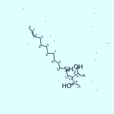 CC=CCCCCCCCC[SiH2]CC(C(C)O)C(C)O